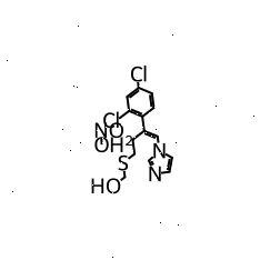 O=[N+]([O-])O.OCSCCC(=Cn1ccnc1)c1ccc(Cl)cc1Cl